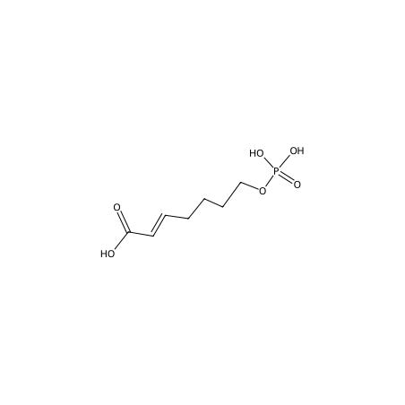 O=C(O)C=CCCCCOP(=O)(O)O